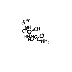 C#Cc1cc(Nc2nccc(Oc3ccc(N)c4ccccc34)n2)cc(C(=O)NCCOCCC)c1